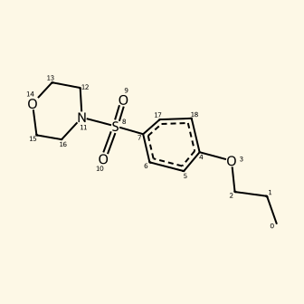 CCCOc1ccc(S(=O)(=O)N2CCOCC2)cc1